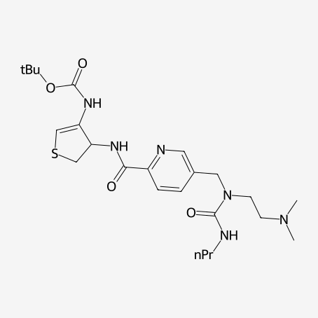 CCCNC(=O)N(CCN(C)C)Cc1ccc(C(=O)NC2CSC=C2NC(=O)OC(C)(C)C)nc1